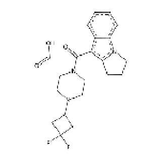 O=C(c1c2n(c3ccccc13)CCC2)N1CCN(C2CC(F)(F)C2)CC1.O=CO